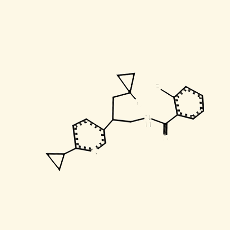 O=C(NCC(CC1(C(F)(F)F)CC1)c1ccc(C2CC2)nc1)c1ccccc1F